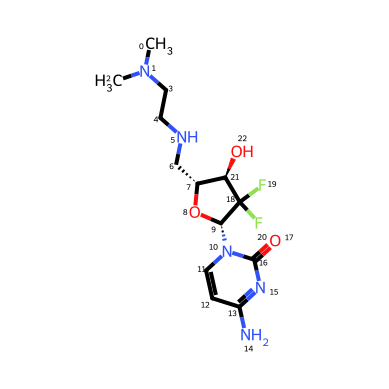 CN(C)CCNC[C@H]1O[C@@H](n2ccc(N)nc2=O)C(F)(F)[C@@H]1O